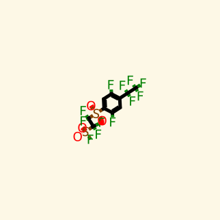 O=S(=O)(F)C(F)(F)C(F)(F)S(=O)(=O)c1cc(F)c(C(F)(F)C(F)(F)F)cc1F